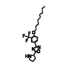 CCCCCCCCCOc1ccc(-c2noc(C3CCCN3)n2)cc1C(F)(F)F